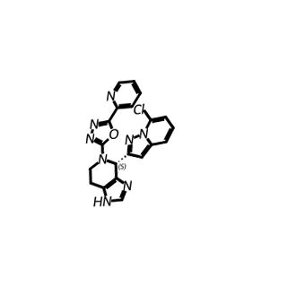 Clc1cccc2cc([C@@H]3c4nc[nH]c4CCN3c3nnc(-c4ccccn4)o3)nn12